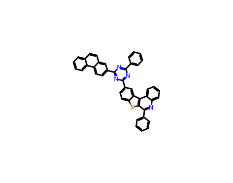 c1ccc(-c2nc(-c3ccc4c(ccc5ccccc54)c3)nc(-c3ccc4sc5c(-c6ccccc6)nc6ccccc6c5c4c3)n2)cc1